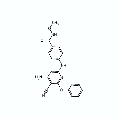 CONC(=O)c1ccc(Nc2cc(N)c(C#N)c(Oc3ccccc3)n2)cc1